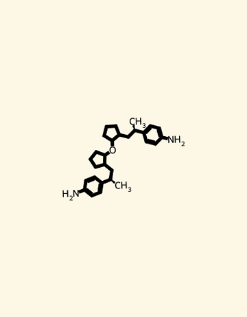 C[C@H](CC1CCCC1OC1CCCC1C[C@@H](C)c1ccc(N)cc1)c1ccc(N)cc1